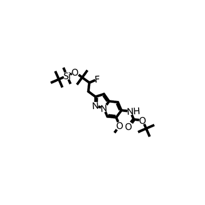 COc1cn2nc(CC(F)C(C)(C)O[Si](C)(C)C(C)(C)C)cc2cc1NC(=O)OC(C)(C)C